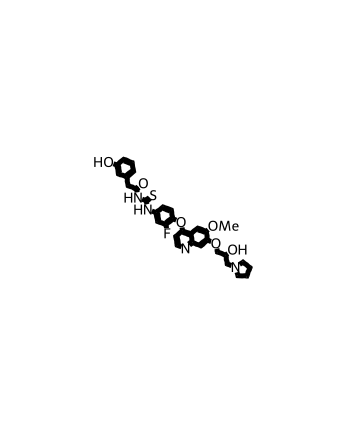 COc1cc2c(Oc3ccc(NC(=S)NC(=O)Cc4cccc(O)c4)cc3F)ccnc2cc1OCC(O)CN1CCCC1